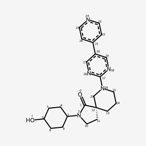 O=C1N(C2CCC(O)CC2)CC[C@]12CCCN(c1ncc(-c3ccncc3)cn1)C2